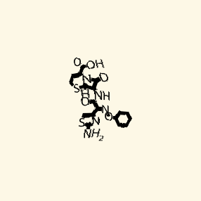 Nc1nc(C(=NOC2C=CCCC2)C(=O)NC2C(=O)N3C(C(=O)O)=CCS[C@@H]23)cs1